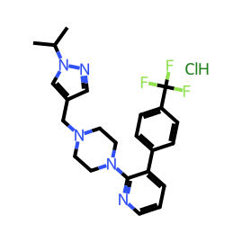 CC(C)n1cc(CN2CCN(c3ncccc3-c3ccc(C(F)(F)F)cc3)CC2)cn1.Cl